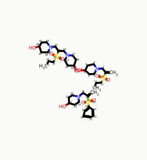 C=C(CN1CCC(O)CC1)S(=O)(=O)CCC.C=C(CN1CCC(O)CC1)S(=O)(=O)c1ccccc1.CCCS(=O)(=O)C(CN1CCC(O)CC1)CN1CCC(O)CC1